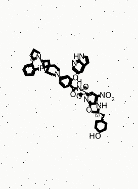 CC(C)c1ccccc1[C@H]1CCCN1C1CC2(CCN(c3ccc(C(=O)NS(=O)(=O)c4cc([N+](=O)[O-])c5c(n4)OC[C@H](CC4CCC(O)CC4)N5)c(Oc4cnc5[nH]ccc5c4)c3)CC2)C1